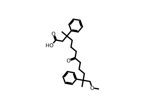 COCC(C)(CCCC(=O)CCCC(C)(CC(=O)O)c1ccccc1)c1ccccc1